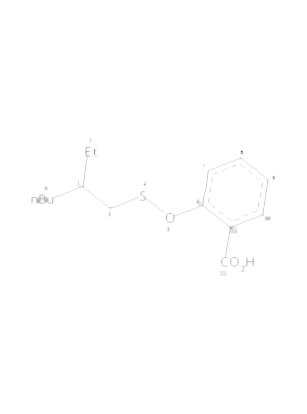 CCCCC(CC)CSOc1ccccc1C(=O)O